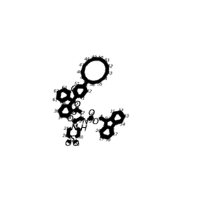 O=C(C[C@H](NC(=O)OCC1c2ccccc2-c2ccccc21)C(=O)N1CCS(=O)(=O)CC1)OC(c1ccccc1)(c1ccc(C2CCCCCCCCCCCC2)cc1)c1ccccc1Cl